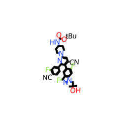 CC(C)(O)Cn1nc(F)c2cc(-c3c(C#N)cc(N4CCC(NC(=O)OC(C)(C)C)CC4)nc3-c3ccc(C#N)c(F)c3)c(F)cc21